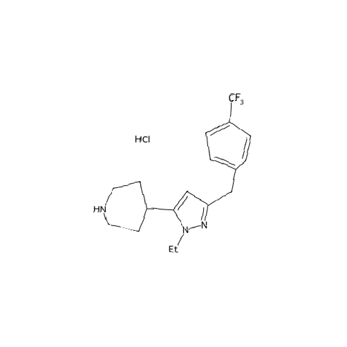 CCn1nc(Cc2ccc(C(F)(F)F)cc2)cc1C1CCNCC1.Cl